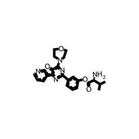 CC(C)[C@H](N)C(=O)Oc1cccc(-c2nc(N3CCOCC3)c3oc4ncccc4c3n2)c1